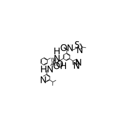 Cc1csc(CN(C)C(=O)c2cc(C(=O)N[C@@H](Cc3ccccc3)[C@H](O)CNCc3cncc(C(C)C)c3)cc(-c3cnn(C)c3)c2)n1